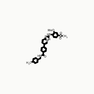 COc1cc(S(C)(=O)=O)ccc1Nc1nc2ccc(-c3ccc(C(=O)NCc4ccc(C)cc4)cc3)cn2n1